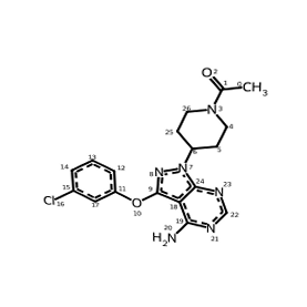 CC(=O)N1CCC(n2nc(Oc3cccc(Cl)c3)c3c(N)ncnc32)CC1